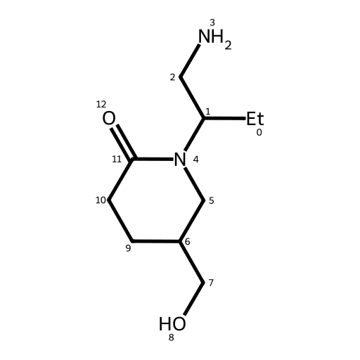 CCC(CN)N1CC(CO)CCC1=O